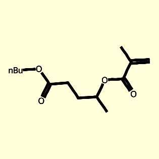 C=C(C)C(=O)OC(C)CCC(=O)OCCCC